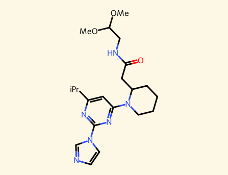 COC(CNC(=O)CC1CCCCN1c1cc(C(C)C)nc(-n2ccnc2)n1)OC